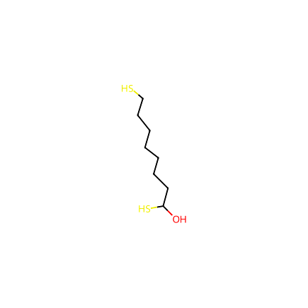 OC(S)CCCCCCCS